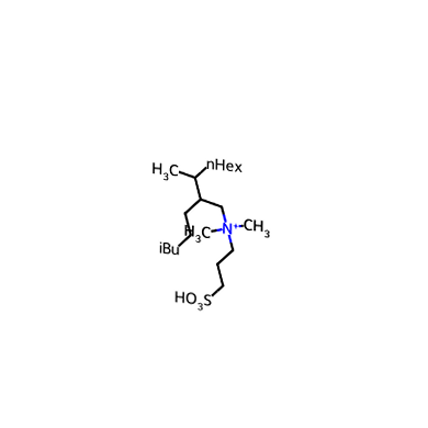 CCCCCCC(C)C(CCC(C)CC)C[N+](C)(C)CCCS(=O)(=O)O